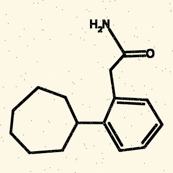 NC(=O)Cc1ccccc1C1CCCCCC1